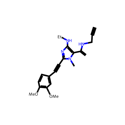 C#CCNC(=C)c1c(NCC)nc(C#Cc2ccc(OC)c(OC)c2)n1C